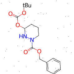 CC(C)(C)OC(=O)OC1CCCN(C(=O)OCc2ccccc2)N1